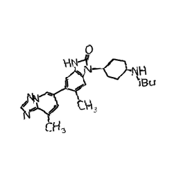 CCC(C)N[C@H]1CC[C@@H](n2c(=O)[nH]c3cc(-c4cc(C)c5ncnn5c4)c(C)cc32)CC1